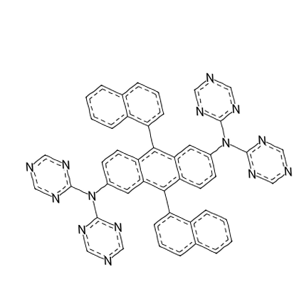 c1ccc2c(-c3c4ccc(N(c5ncncn5)c5ncncn5)cc4c(-c4cccc5ccccc45)c4ccc(N(c5ncncn5)c5ncncn5)cc34)cccc2c1